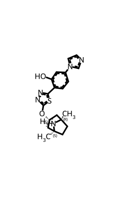 CN1[C@@]2(C)CC[C@]1(C)C[C@@H](Oc1nnc(-c3ccc(-n4ccnc4)cc3O)s1)C2